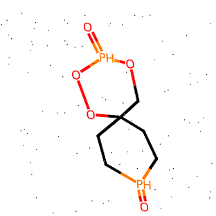 O=[PH]1CCC2(CC1)CO[PH](=O)OO2